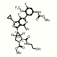 CC(C)c1nc(-c2cc(NC(=O)OC(C)(C)C)cc(F)c2OC(F)(F)F)c(F)c2c1c([C@@H]1[C@H]3CN(C(=O)OC(C)(C)C)[C@H](C(=O)NCCO)[C@H]31)nn2C1CC1